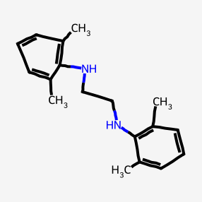 Cc1cccc(C)c1NCCNc1c(C)cccc1C